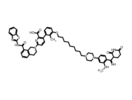 CNc1cc(N2CCN(CCCCCCCCCOc3cccc(-c4ccc(N5CCc6cccc(C(=O)Nc7nc8ccccc8s7)c6C5)nc4C(=O)O)c3C)CC2)ccc1C(=N)C1CCC(=O)NC1=O